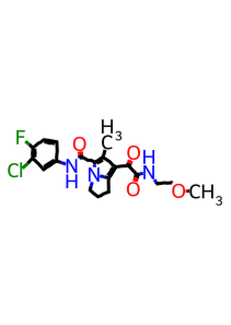 COCCNC(=O)C(=O)c1c(C)c(C(=O)Nc2ccc(F)c(Cl)c2)n2c1CCC2